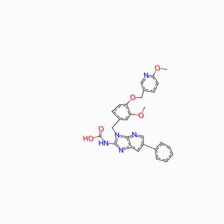 COc1ccc(COc2ccc(Cn3c(NC(=O)O)nc4cc(-c5ccccc5)cnc43)cc2OC)cn1